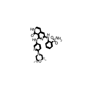 C[C@@H]1CN(c2ccc(Nc3nc(Nc4ccccc4S(N)(=O)=O)cc4cc[nH]c(=O)c34)cn2)C[C@H](C)O1